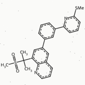 CSc1cccc(-c2cccc(-c3cc(C(C)(C)S(C)(=O)=O)c4ncccc4c3)c2)n1